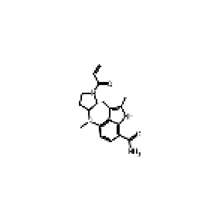 C=CC(=O)N1CCC(N(C)c2ccc(C(N)=O)c3[nH]c(C)c(C)c23)C1